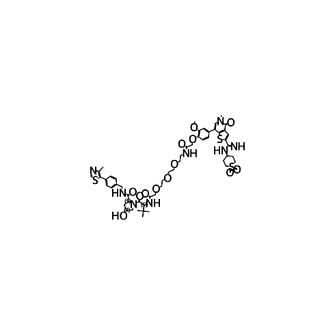 COc1cc(-c2cn(C)c(=O)c3cc(C(=N)NC4CCS(=O)(=O)CC4)sc23)ccc1OCC(=O)NCCOCCOCCOCC(=O)N[C@H](C(=O)N1C[C@H](O)C[C@H]1C(=O)NCc1ccc(-c2scnc2C)cc1)C(C)(C)C